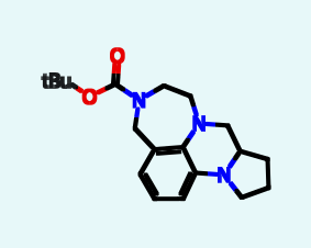 CC(C)(C)OC(=O)N1CCN2CC3CCCN3c3cccc(c32)C1